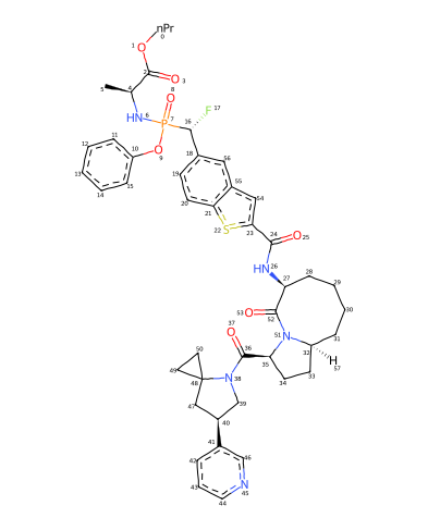 CCCOC(=O)[C@H](C)NP(=O)(Oc1ccccc1)[C@H](F)c1ccc2sc(C(=O)N[C@H]3CCCC[C@H]4CC[C@@H](C(=O)N5C[C@@H](c6cccnc6)CC56CC6)N4C3=O)cc2c1